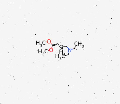 CCN(CC)C[SiH2]C=C(OC)OC